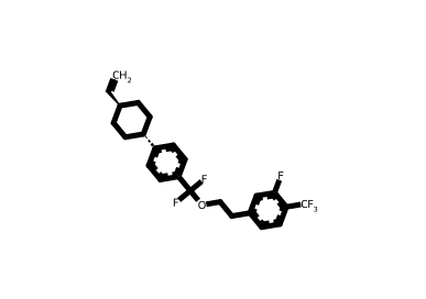 C=C[C@H]1CC[C@H](c2ccc(C(F)(F)OCCc3ccc(C(F)(F)F)c(F)c3)cc2)CC1